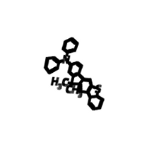 CC1(C)c2cc(N(c3ccccc3)c3ccccc3)ccc2-c2cc3c(cc21)C1C=CC=CC1S3